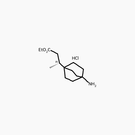 CCOC(=O)C[C@@H](C)C12CCC(N)(CC1)CC2.Cl